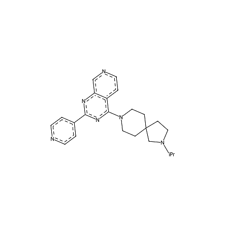 CC(C)N1CCC2(CCN(c3nc(-c4ccncc4)nc4cnccc34)CC2)C1